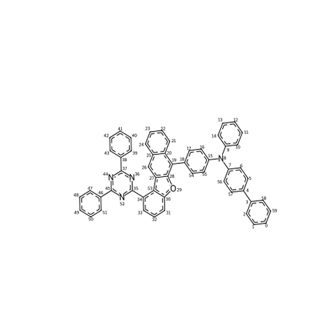 c1ccc(-c2ccc(N(c3ccccc3)c3ccc(-c4c5ccccc5cc5c4oc4cccc(-c6nc(-c7ccccc7)nc(-c7ccccc7)n6)c45)cc3)cc2)cc1